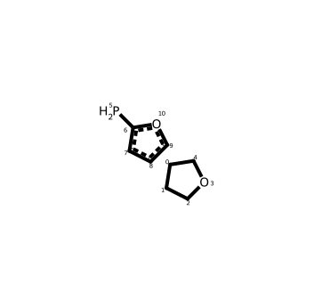 C1CCOC1.Pc1ccco1